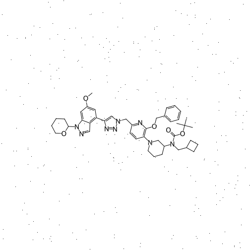 COc1cc(-c2cn(Cc3ccc(N4CCCC(N(CC5CCC5)C(=O)OC(C)(C)C)C4)c(OCc4ccccc4)n3)nn2)c2cnn(C3CCCCO3)c2c1